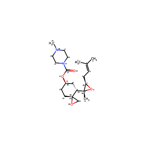 CC(C)=CC[C@H]1O[C@]1(C)[C@H]1C[C@H](OC(=O)N2CCN(C)CC2)CC[C@]12CO2